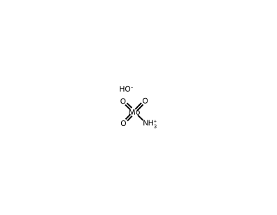 [NH3+][Mo](=[O])(=[O])=[O].[OH-]